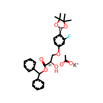 CC(=O)[O-].CC1(C)OB(c2ccc(OC[C@@H](O)C(=O)OC(c3ccccc3)c3ccccc3)cc2F)OC1(C)C.[K+]